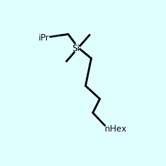 CCCCCCCCCC[Si](C)(C)CC(C)C